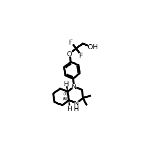 CC1(C)CN(c2ccc(OC(F)(F)CO)cc2)[C@H]2CCCC[C@H]2N1